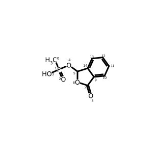 CP(=O)(O)OC1OC(=O)c2ccccc21